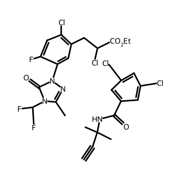 C#CC(C)(C)NC(=O)c1cc(Cl)cc(Cl)c1.CCOC(=O)C(Cl)Cc1cc(-n2nc(C)n(C(F)F)c2=O)c(F)cc1Cl